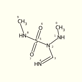 CNN(C=N)S(=O)(=O)NC